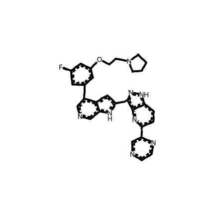 Fc1cc(OCCN2CCCC2)cc(-c2cncc3[nH]c(-c4n[nH]c5ccc(-c6cnccn6)nc45)cc23)c1